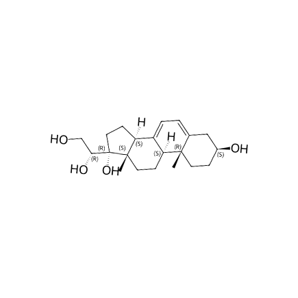 C[C@]12CC[C@H](O)CC1=CC=C1[C@@H]2CC[C@@]2(C)[C@H]1CC[C@]2(O)[C@H](O)CO